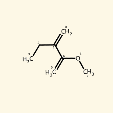 C=C(CC)C(=C)OC